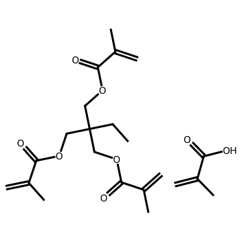 C=C(C)C(=O)O.C=C(C)C(=O)OCC(CC)(COC(=O)C(=C)C)COC(=O)C(=C)C